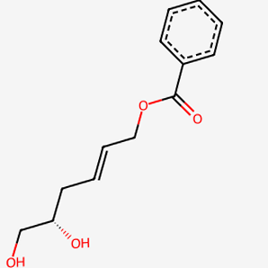 O=C(OC/C=C/C[C@H](O)CO)c1ccccc1